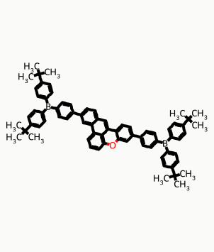 CC(C)(C)c1ccc(B(c2ccc(-c3ccc4c(c3)Oc3cccc5c3c-4cc3ccc(-c4ccc(B(c6ccc(C(C)(C)C)cc6)c6ccc(C(C)(C)C)cc6)cc4)cc35)cc2)c2ccc(C(C)(C)C)cc2)cc1